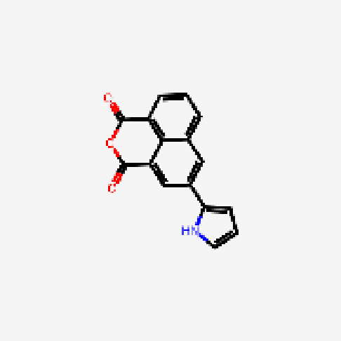 O=C1OC(=O)c2cc(-c3ccc[nH]3)cc3cccc1c23